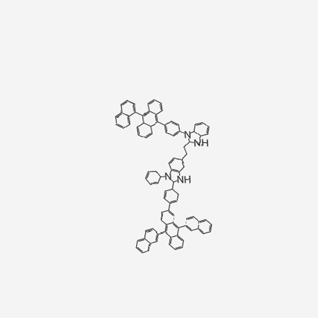 C1=CCC(N2C3=C(CC(CCC4NC5C=CC=CC5N4c4ccc(C5=c6ccccc6=C(c6cccc7ccccc67)C6C=CC=CC56)cc4)C=C3)NC2C2C=CC(c3ccc4c(-c5ccc6ccccc6c5)c5ccccc5c(-c5ccc6ccccc6c5)c4c3)=CC2)C=C1